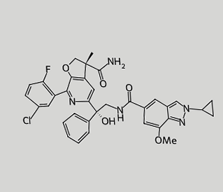 COc1cc(C(=O)NC[C@@](O)(c2ccccc2)c2cc3c(c(-c4cc(Cl)ccc4F)n2)OC[C@]3(C)C(N)=O)cc2cn(C3CC3)nc12